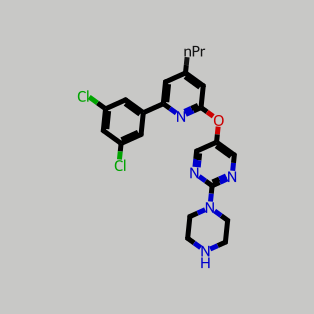 CCCc1cc(Oc2cnc(N3CCNCC3)nc2)nc(-c2cc(Cl)cc(Cl)c2)c1